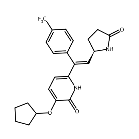 O=C1CC[C@H](/C=C(\c2ccc(C(F)(F)F)cc2)c2ccc(OC3CCCC3)c(=O)[nH]2)N1